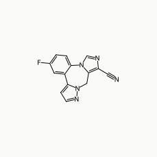 N#Cc1ncn2c1Cn1nccc1-c1cc(F)ccc1-2